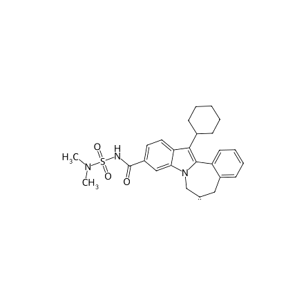 CN(C)S(=O)(=O)NC(=O)c1ccc2c(C3CCCCC3)c3n(c2c1)C[C]Cc1ccccc1-3